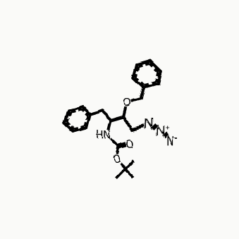 CC(C)(C)OC(=O)NC(Cc1ccccc1)C(CN=[N+]=[N-])OCc1ccccc1